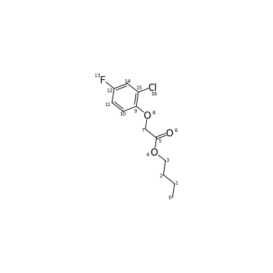 CCCCOC(=O)COc1ccc(F)cc1Cl